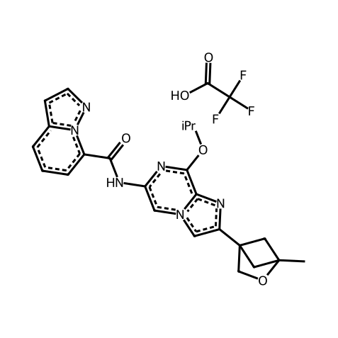 CC(C)Oc1nc(NC(=O)c2cccc3ccnn23)cn2cc(C34COC(C)(C3)C4)nc12.O=C(O)C(F)(F)F